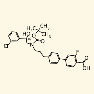 CC(C)(C)OC(=O)N(CCCc1ccc(-c2ccc(C(=O)O)c(F)c2)cc1)C[C@H](O)c1cccc(Cl)c1